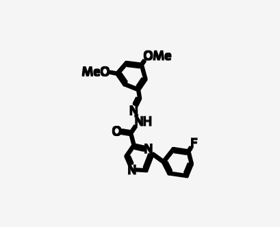 COc1cc(/C=N/NC(=O)c2cncc(-c3cccc(F)c3)n2)cc(OC)c1